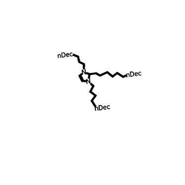 CCCCCCCCCCCCCCCCC1N(CCCCCCCCCCCCC)C=CN1CCCCCCCCCCCCCC